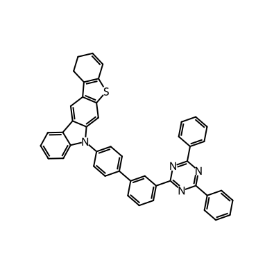 C1=Cc2sc3cc4c(cc3c2CC1)c1ccccc1n4-c1ccc(-c2cccc(-c3nc(-c4ccccc4)nc(-c4ccccc4)n3)c2)cc1